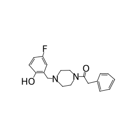 O=C(Cc1ccccc1)N1CCN(Cc2cc(F)ccc2O)CC1